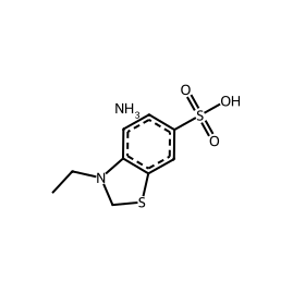 CCN1CSc2cc(S(=O)(=O)O)ccc21.N